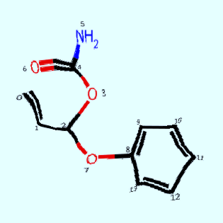 C=CC(OC(N)=O)Oc1ccccc1